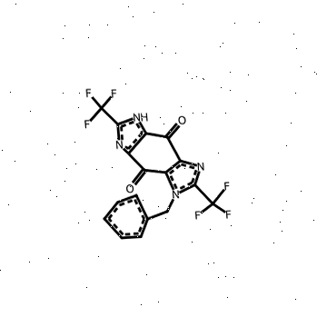 O=C1c2nc(C(F)(F)F)n(Cc3ccccc3)c2C(=O)c2nc(C(F)(F)F)[nH]c21